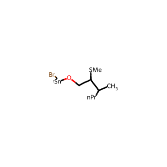 CCCC(C)C(C[O][Sn][Br])SC